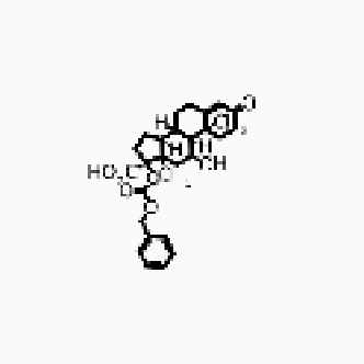 C[C@]12CCC(=O)C=C1CC[C@@H]1[C@@H]2[C@@H](O)C[C@@]2(C)[C@H]1CC[C@]2(OC(=O)OCc1ccccc1)C(=O)O